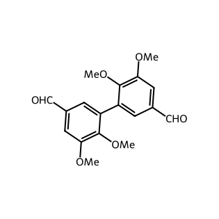 COc1cc(C=O)cc(-c2cc(C=O)cc(OC)c2OC)c1OC